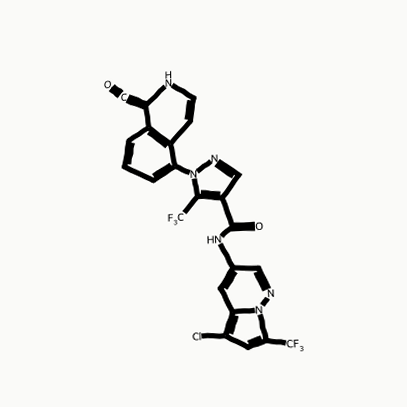 O=C=C1NC=Cc2c1cccc2-n1ncc(C(=O)Nc2cnn3c(C(F)(F)F)cc(Cl)c3c2)c1C(F)(F)F